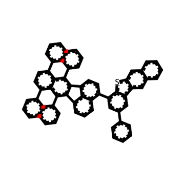 c1ccc(-c2cc(-c3ccc4c5c(cccc35)-c3c-4c(-c4ccccc4)c4c(-c5ccccc5)ccc(-c5ccccc5)c4c3-c3ccccc3)c3sc4cc5ccccc5cc4c3c2)cc1